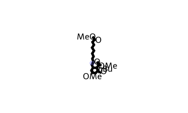 CCCCC1(C(=O)OC)CC=CC(/C=C/CCCCCCCC(=O)OC)C1C(=O)OC